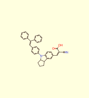 N#C/C(=C/c1ccc2c(c1)C1CCCC1N2c1ccc(C=C(c2ccccc2)c2ccccc2)cc1)C(=O)O